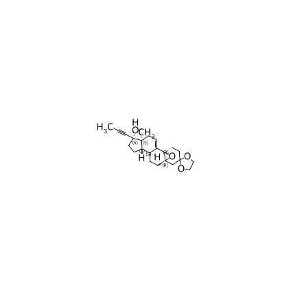 CC#C[C@]1(O)CC[C@H]2[C@@H]3CC[C@@]45CC6(CC[C@@]4(O5)C3=CC[C@@]21C)OCCO6